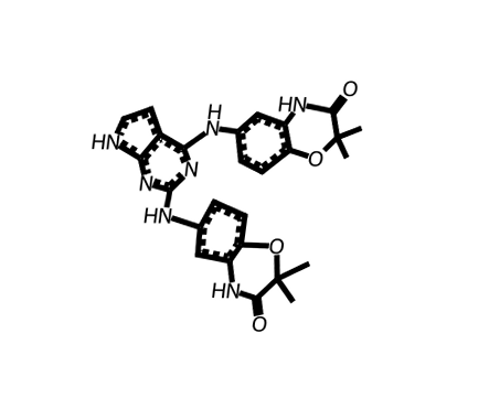 CC1(C)Oc2ccc(Nc3nc(Nc4ccc5c(c4)NC(=O)C(C)(C)O5)c4cc[nH]c4n3)cc2NC1=O